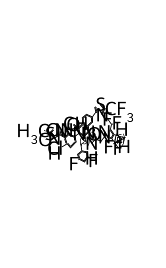 Cn1nc(NS(C)(=O)=O)c2c(Cl)ccc(-n3c([C@H](Cc4cc(F)cc(F)c4)NC(=O)Cn4nc(C(F)F)c5c4C(F)(F)[C@@H]4C[C@H]54)nc4cc(-c5csc(C(F)(F)F)n5)ccc4c3=O)c21